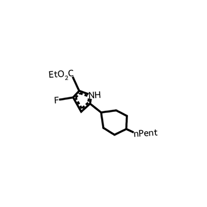 CCCCCC1CCC(c2cc(F)c(C(=O)OCC)[nH]2)CC1